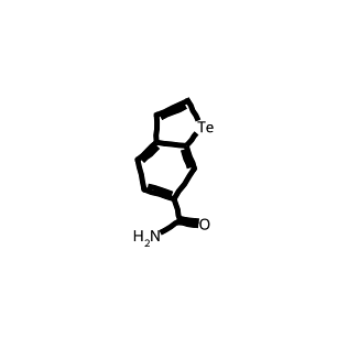 NC(=O)c1ccc2cc[te]c2c1